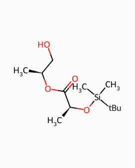 C[C@H](O[Si](C)(C)C(C)(C)C)C(=O)O[C@@H](C)CO